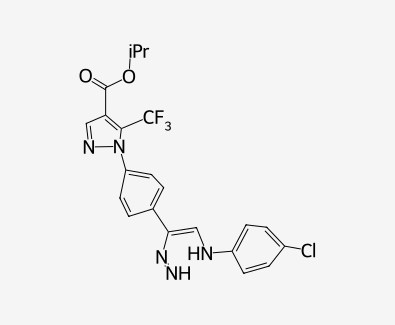 CC(C)OC(=O)c1cnn(-c2ccc(/C(=C/Nc3ccc(Cl)cc3)N=N)cc2)c1C(F)(F)F